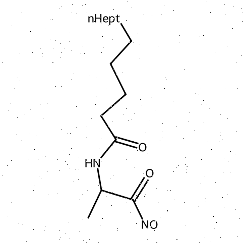 CCCCCCCCCCCC(=O)NC(C)C(=O)N=O